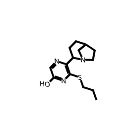 CCCSc1nc(O)cnc1C1CCC2CCN1C2